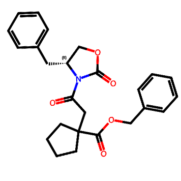 O=C(CC1(C(=O)OCc2ccccc2)CCCC1)N1C(=O)OC[C@H]1Cc1ccccc1